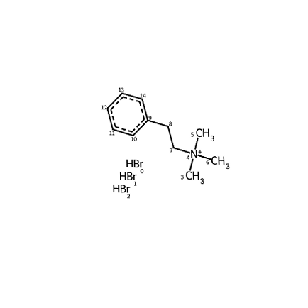 Br.Br.Br.C[N+](C)(C)CCc1ccccc1